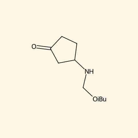 CC(C)COCNC1CCC(=O)C1